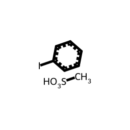 CS(=O)(=O)O.Ic1ccccc1